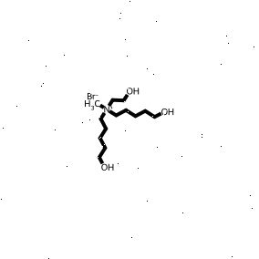 C[N+](CCO)(CCCCCO)CCCCCO.[Br-]